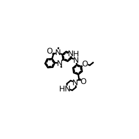 CCOc1cc(C(=O)N2CCNCC2)ccc1Nc1cc2c(cn1)N(C)C(=O)c1ccccc1N2C